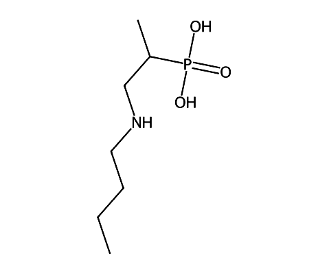 CCCCNCC(C)P(=O)(O)O